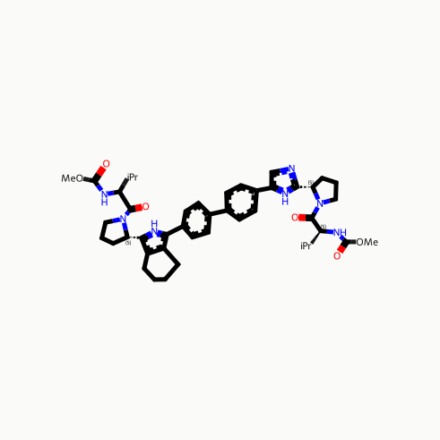 COC(=O)NC(C(=O)N1CCC[C@H]1c1[nH]c(-c2ccc(-c3ccc(-c4cnc([C@@H]5CCCN5C(=O)[C@@H](NC(=O)OC)C(C)C)[nH]4)cc3)cc2)c2c1CCCC2)C(C)C